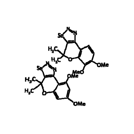 COc1cc(OC)c2c(c1)OC(C)(C)c1[se]nnc1-2.COc1ccc2c(c1OC)OC(C)(C)c1[se]nnc1-2